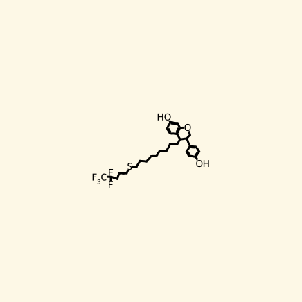 Oc1ccc(C2COc3cc(O)ccc3C2CCCCCCCCCSCCCC(F)(F)C(F)(F)F)cc1